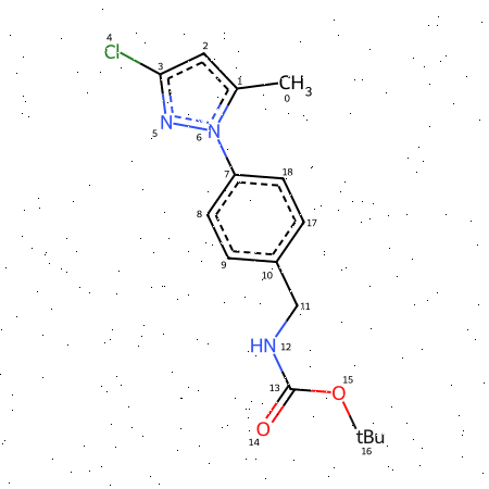 Cc1cc(Cl)nn1-c1ccc(CNC(=O)OC(C)(C)C)cc1